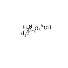 CC(N)COCCO